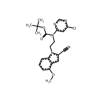 COc1cccc2c1cc(C#N)n2CCN(C(=O)OC(C)(C)C)c1cc(Cl)ncn1